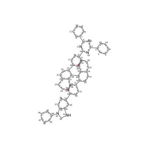 c1ccc(-c2nc(-c3ccccc3)nc(-c3ccc(-c4ccc5ccccc5c4-c4c(-c5ccc(-c6ccc7c(c6)NCN7c6ccccc6)cc5)ccc5ccccc45)cc3)n2)cc1